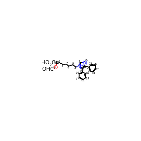 Cn1c[n+](CCCCCCC(OC=O)C(=O)O)c(-c2ccccc2)c1-c1ccccc1